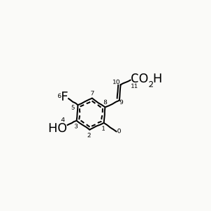 Cc1cc(O)c(F)cc1C=CC(=O)O